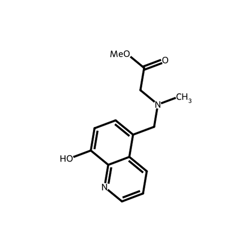 COC(=O)CN(C)Cc1ccc(O)c2ncccc12